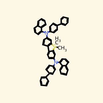 CS1(C)c2cc(N(c3ccc(-c4ccccc4)cc3)c3cccc4ccccc34)ccc2-c2ccc(N(c3ccc(-c4ccccc4)cc3)c3cccc4ccccc34)cc21